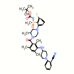 Cc1cc(C)c(C(=O)N2CCN(c3cccc(F)c3S(C)(=O)=NC(=O)OC(C)(C)C)C[C@@H]2C)c(C)c1NC1CCN(c2ccccc2C#N)CC1